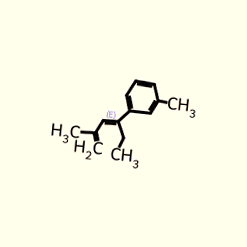 C=C(C)/C=C(\CC)c1cccc(C)c1